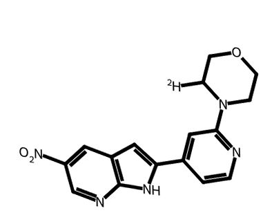 [2H]C1COCCN1c1cc(-c2cc3cc([N+](=O)[O-])cnc3[nH]2)ccn1